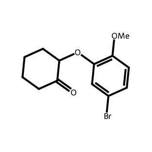 COc1ccc(Br)cc1OC1CCCCC1=O